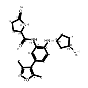 Cc1noc(C)c1-c1ccc(N[C@@H]2CC[C@@H](O)C2)c(NC(=O)C2CCC(=O)N2)c1